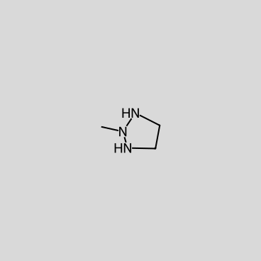 CN1NCCN1